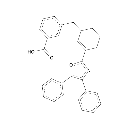 O=C(O)c1cccc(CC2C=C(c3nc(-c4ccccc4)c(-c4ccccc4)o3)CCC2)c1